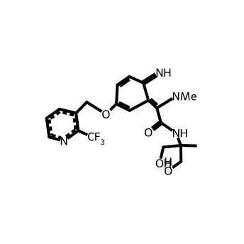 CN/C(C(=O)NC(C)(CO)CO)=C1/C=C(OCc2cccnc2C(F)(F)F)C=CC1=N